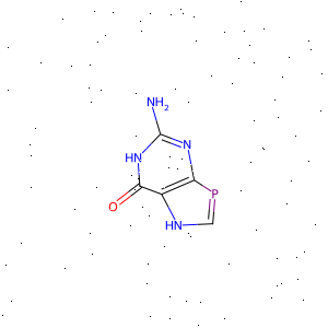 Nc1nc2pc[nH]c2c(=O)[nH]1